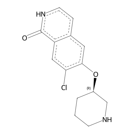 O=c1[nH]ccc2cc(O[C@@H]3CCCNC3)c(Cl)cc12